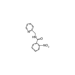 O=C(NCc1ccccn1)c1ccccc1[N+](=O)[O-]